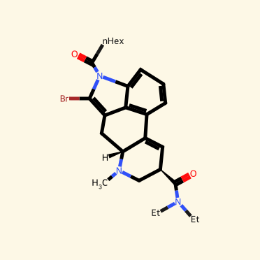 CCCCCCC(=O)n1c(Br)c2c3c(cccc31)C1=C[C@@H](C(=O)N(CC)CC)CN(C)[C@@H]1C2